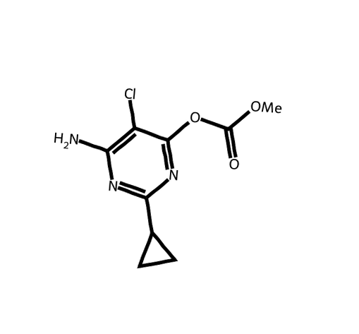 COC(=O)Oc1nc(C2CC2)nc(N)c1Cl